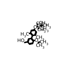 Cc1cc(O[Si](C)(C)C(C)(C)C)cc(C)c1-c1cc(CO)ccc1OC(C)C